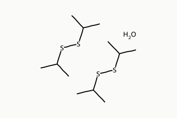 CC(C)SSC(C)C.CC(C)SSC(C)C.O